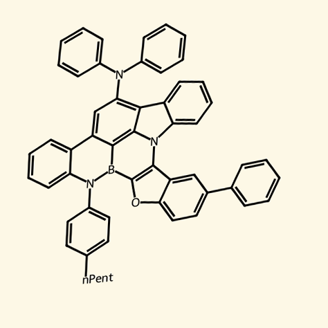 CCCCCc1ccc(N2B3c4oc5ccc(-c6ccccc6)cc5c4-n4c5ccccc5c5c(N(c6ccccc6)c6ccccc6)cc(c3c54)-c3ccccc32)cc1